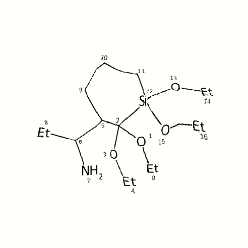 CCOC1(OCC)C(C(N)CC)CCC[Si]1(OCC)OCC